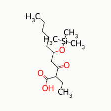 CCCCCC(CC(=O)C(CC)C(=O)O)O[Si](C)(C)C